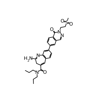 CCCN(CCC)C(=O)C1=Cc2ccc(-c3ccc4c(=O)n(CCS(C)(=O)=O)ncc4c3)cc2N=C(N)C1